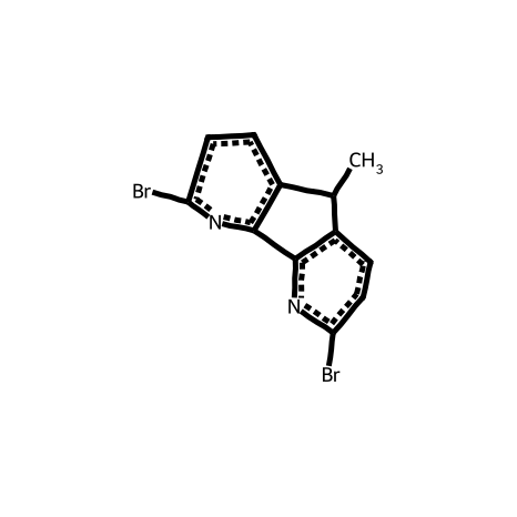 CC1c2ccc(Br)nc2-c2nc(Br)ccc21